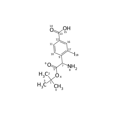 CC(C)(C)OC(=O)C(N)c1ccc(C(=O)O)cc1I